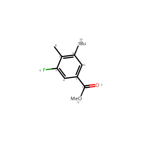 COC(=O)c1cc(F)c(C)c(C(C)(C)C)c1